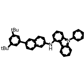 CC(C)(C)c1cc(-c2ccc3cc(Nc4cccc5c4c4ccccc4n5-c4ccccc4)ccc3c2)cc(C(C)(C)C)c1